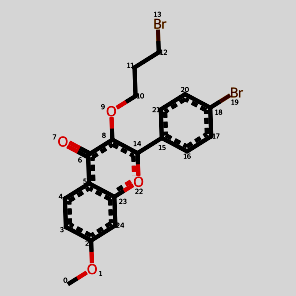 COc1ccc2c(=O)c(OCCCBr)c(-c3ccc(Br)cc3)oc2c1